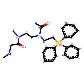 CNCC(=O)N(C)CCN(CC[PH](c1ccccc1)(c1ccccc1)c1ccccc1)C(C)=O